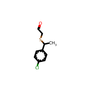 CC(SCC=O)c1ccc(Cl)cc1